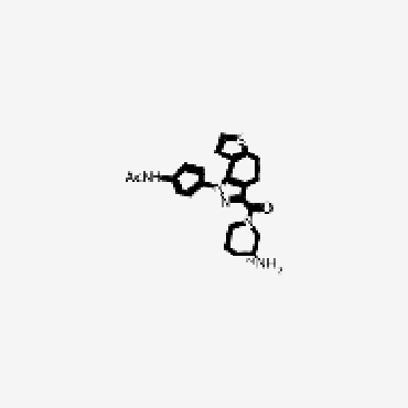 CC(=O)Nc1ccc(-n2nc(C(=O)N3CCC[C@H](N)C3)c3c2-c2ccsc2CC3)cc1